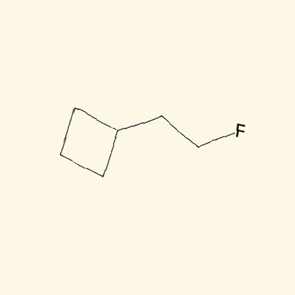 FCCC1CCC1